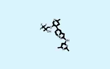 Cc1cc(-c2ccn3nc(Nc4cc(C)nc(C)n4)cc3c2)c(OCC(C)(O)C(F)(F)F)cn1